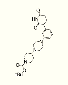 CC(C)(C)OC(=O)N1CCC(N2CCN(c3cccc(C4CCC(=O)NC4=O)c3)CC2)CC1